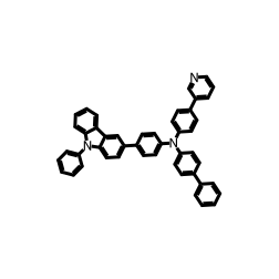 c1ccc(-c2ccc(N(c3ccc(-c4cccnc4)cc3)c3ccc(-c4ccc5c(c4)c4ccccc4n5-c4ccccc4)cc3)cc2)cc1